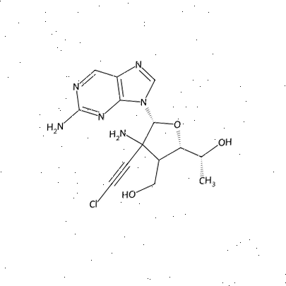 C[C@@H](O)[C@H]1O[C@@H](n2cnc3cnc(N)nc32)C(N)(C#CCl)C1CO